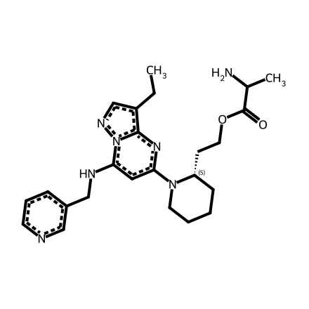 CCc1cnn2c(NCc3cccnc3)cc(N3CCCC[C@H]3CCOC(=O)C(C)N)nc12